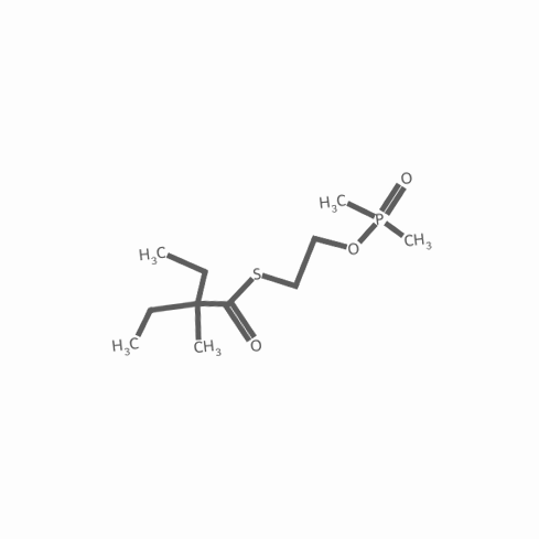 CCC(C)(CC)C(=O)SCCOP(C)(C)=O